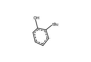 CC(C)(C)c1[c]cccc1O